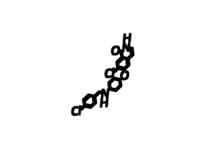 O=c1[nH]ccc2cc(O[C@H]3CC[C@H](NCc4ccc(Cl)cc4)CC3)c(Cl)cc12